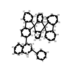 c1ccc(-c2nc(-c3ccc4c(c3)C3(c5ccccc5-4)c4ccccc4C4(c5ccccc5-c5ccccc54)c4ccccc43)c3ccccc3n2)cc1